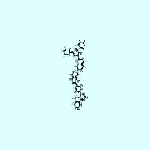 c1ccc(-c2nc(-c3ccccc3)nc(-c3ccc4ccc(-c5ccc6ccc(-c7ccc(-c8ccnc9c8ccc8cccnc89)cc7)nc6c5)cc4n3)n2)cc1